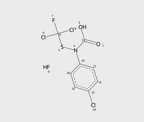 F.O=C(O)N(SC(F)(Cl)Cl)c1ccc(Cl)cc1